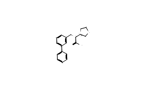 Cl.O=C(O)[C@@H](Cc1cccc(-c2ccccc2)c1)[C@H]1CCNC1